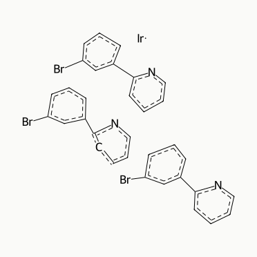 Brc1cccc(-c2ccccn2)c1.Brc1cccc(-c2ccccn2)c1.Brc1cccc(-c2ccccn2)c1.[Ir]